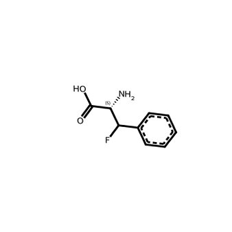 N[C@@H](C(=O)O)C(F)c1ccccc1